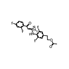 CC(=O)OCCc1cc(F)c(NC(N)=CC(=O)c2ccc(F)cc2F)c(F)c1